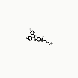 CCOCCCNC(=O)c1ccc2nc(-c3ccc(F)cc3)c(-c3ccc(F)cc3)nc2c1